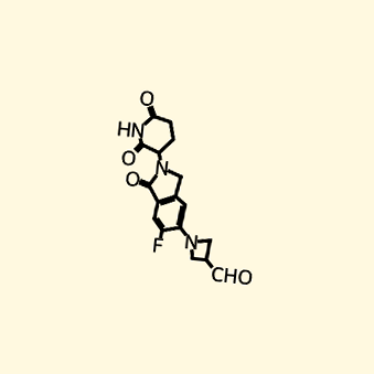 O=CC1CN(c2cc3c(cc2F)C(=O)N(C2CCC(=O)NC2=O)C3)C1